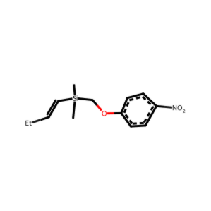 CCC=C[Si](C)(C)COc1ccc([N+](=O)[O-])cc1